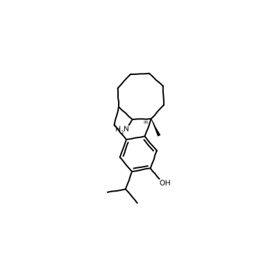 CC(C)c1cc2c(cc1O)[C@@]1(C)CCCCCC(C2)C1N